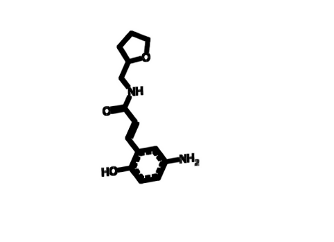 Nc1ccc(O)c(C=CC(=O)NCC2CCCO2)c1